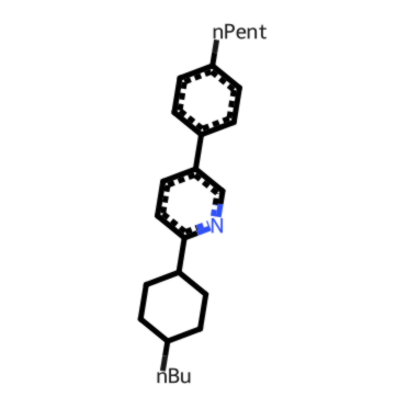 CCCCCc1ccc(-c2ccc(C3CCC(CCCC)CC3)nc2)cc1